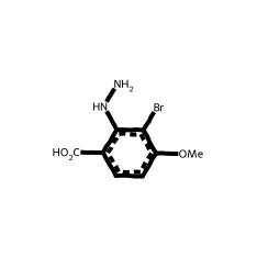 COc1ccc(C(=O)O)c(NN)c1Br